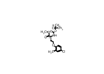 COC(=O)[C@H](CCOc1ccc(Cl)cc1C)NC(=O)OC(C)(C)C